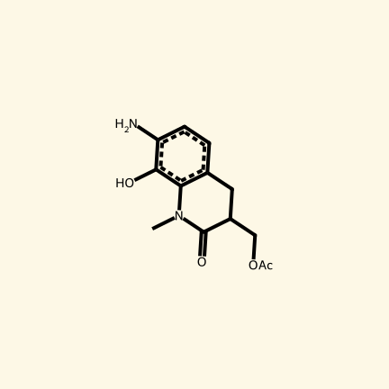 CC(=O)OCC1Cc2ccc(N)c(O)c2N(C)C1=O